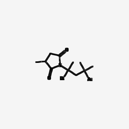 CCC(C)(CC(C)(C)C(C)=O)N1C(=O)CC(C)C1=O